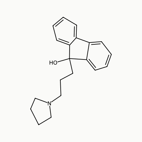 OC1(CCCN2CCCC2)c2ccccc2-c2ccccc21